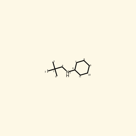 CC(C)(I)CNC1CCCCC1